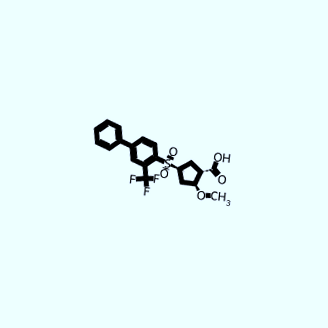 CO[C@H]1C[C@@H](S(=O)(=O)c2ccc(-c3ccccc3)cc2C(F)(F)F)C[C@@H]1C(=O)O